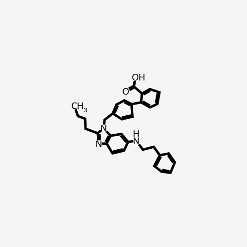 CCCCc1nc2ccc(NCCc3ccccc3)cc2n1Cc1ccc(-c2ccccc2C(=O)O)cc1